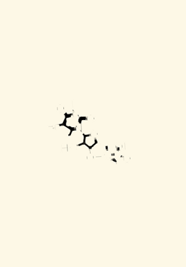 O=c1[nH]c(=O)n(C2O[C@H](COP(=O)(O)O)[C@H](O)C2O)c(I)c1Br